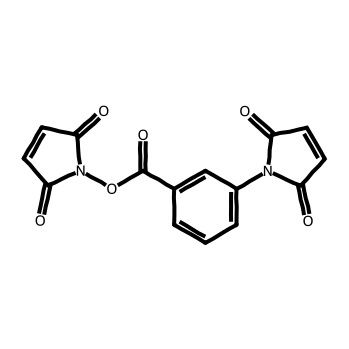 O=C(ON1C(=O)C=CC1=O)c1cccc(N2C(=O)C=CC2=O)c1